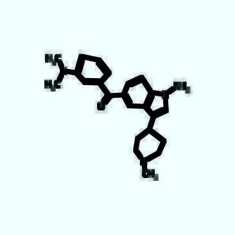 CN1CCC(c2cn(N)c3ccc(C(=O)c4cccc(N(C)C)c4)cc23)CC1